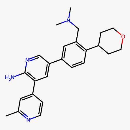 Cc1cc(-c2cc(-c3ccc(C4CCOCC4)c(CN(C)C)c3)cnc2N)ccn1